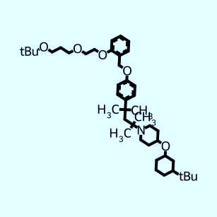 CC(C)(C)OCCCOCCOc1ccccc1COc1ccc(C(C)(C)CC(C)(C)N2CCC(OC3CCCC(C(C)(C)C)C3)CC2)cc1